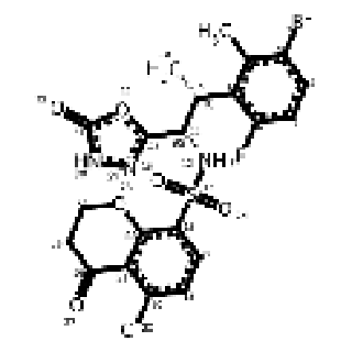 Cc1c(Br)ccc(F)c1[C@@H](C)[C@H](NS(=O)(=O)c1ccc(Cl)c2c1OCCC2=O)c1n[nH]c(=O)o1